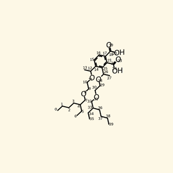 CCCCC(CC)COCCOC(C)c1ccc(C(=O)O)c(C(=O)O)c1C(C)OCCOCC(CC)CCCC